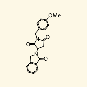 COc1ccc(CN2C(=O)CC(N3Cc4ccccc4C3=O)C2=O)cc1